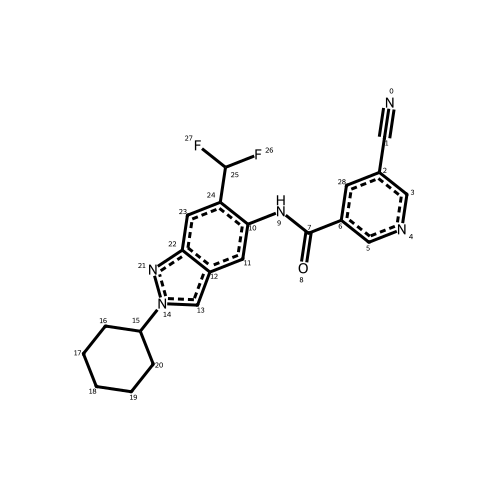 N#Cc1cncc(C(=O)Nc2cc3cn(C4CCCCC4)nc3cc2C(F)F)c1